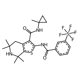 CC1(C)Cc2c(sc(NC(=O)c3cccc(S(F)(F)(F)(F)F)c3)c2C(=O)NC2(C)CC2)C(C)(C)N1